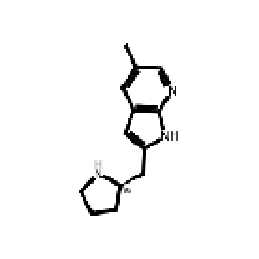 Cc1cnc2[nH]c(C[C@H]3CCCN3)cc2c1